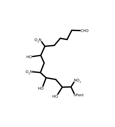 CCCCCC(C(O)CC(O)C(CC(O)C(CCCC[C]=O)[N+](=O)[O-])[N+](=O)[O-])[N+](=O)[O-]